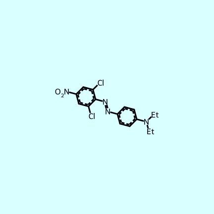 CCN(CC)c1ccc(N=Nc2c(Cl)cc([N+](=O)[O-])cc2Cl)cc1